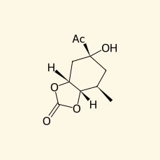 CC(=O)[C@@]1(O)C[C@@H](C)[C@@H]2OC(=O)O[C@@H]2C1